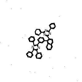 C1=CC(c2nc(-c3ccccc3)nc(-c3ccc4ccccc4c3-c3cccc(-c4nc(-c5ccccc5)c(-c5ccccc5)nc4-c4ccccc4)c3)n2)=CCC1